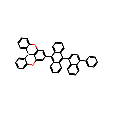 c1ccc(-c2ccc(-c3c4ccccc4c(-c4cc5c6c(c4)Oc4ccccc4B6c4ccccc4O5)c4ccccc34)c3ccccc23)cc1